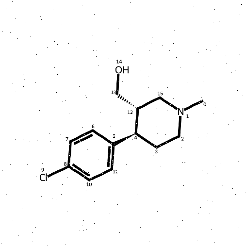 CN1CC[C@@H](c2ccc(Cl)cc2)[C@H](CO)C1